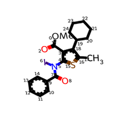 COC(=O)c1c(N(I)C(=O)c2ccccc2)sc(C)c1C1CCCCC1